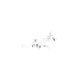 CC(C(=O)C(C)c1ccc(N2CCN(C(=O)c3cc([N+](=O)[O-])ccc3N3CCC(CO)C3)CC2)c(F)c1)c1ccc(N2CCN(C(=O)c3cc([N+](=O)[O-])ccc3N3CCC(CO)C3)CC2)c(F)c1